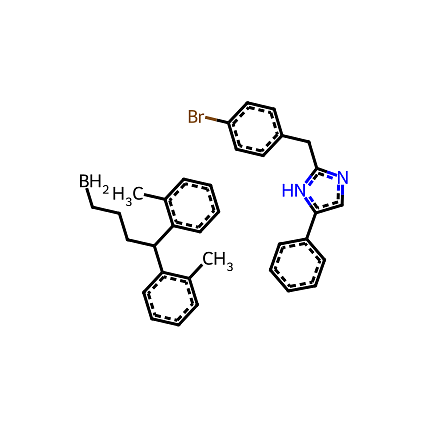 BCCCC(c1ccccc1C)c1ccccc1C.Brc1ccc(Cc2ncc(-c3ccccc3)[nH]2)cc1